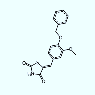 COc1cc(/C=C2\SC(=O)NC2=O)ccc1OCc1ccccc1